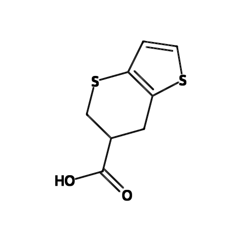 O=C(O)C1CSc2ccsc2C1